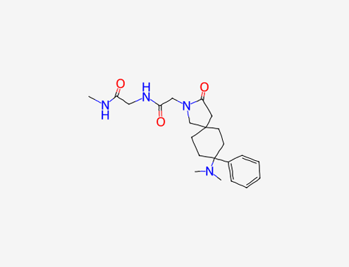 CNC(=O)CNC(=O)CN1CC2(CCC(c3ccccc3)(N(C)C)CC2)CC1=O